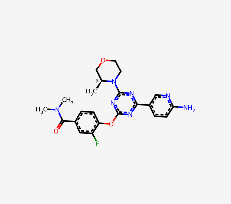 C[C@H]1COCCN1c1nc(Oc2ccc(C(=O)N(C)C)cc2F)nc(-c2ccc(N)nc2)n1